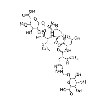 CN[C@@H](Cc1cn(COC2OC(C(=O)O)C(O)[C@H](O)[C@@H]2O)nn1)C(=O)N[C@@H](CC(=O)O)C(=O)N[C@@H](Cc1cn(COC2OC(C(=O)O)C(O)[C@H](O)[C@@H]2O)nn1)C(=O)N[C@H](CSC)C(=O)O